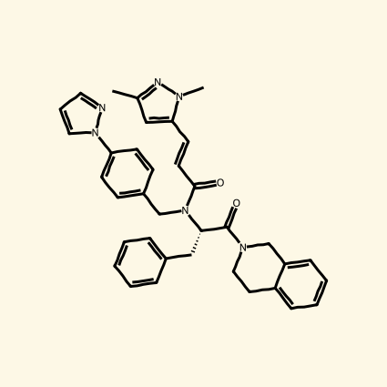 Cc1cc(/C=C/C(=O)N(Cc2ccc(-n3cccn3)cc2)[C@@H](Cc2ccccc2)C(=O)N2CCc3ccccc3C2)n(C)n1